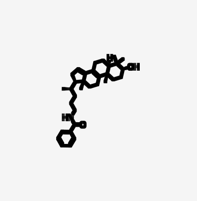 C[C@H](CCCNC(=O)c1ccccc1)[C@H]1CC=C2C3=C(CC[C@@]21C)[C@@]1(C)CC[C@H](O)C(C)(C)[C@@H]1CC3